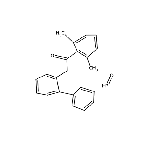 Cc1cccc(C)c1C(=O)Cc1ccccc1-c1ccccc1.O=P